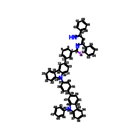 N=C(/C=C(\N=C(/I)c1cccc(-c2ccc3c(c2)c2ccccc2n3-c2ccc(-c3ccc4c5ccccc5n(-c5ccccc5)c4c3)cc2)c1)c1ccccc1)c1ccccc1